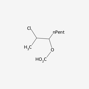 CCCCCC(OC(=O)O)C(C)Cl